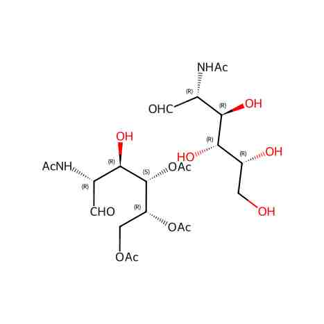 CC(=O)N[C@@H](C=O)[C@@H](O)[C@@H](O)[C@H](O)CO.CC(=O)N[C@@H](C=O)[C@@H](O)[C@H](OC(C)=O)[C@@H](COC(C)=O)OC(C)=O